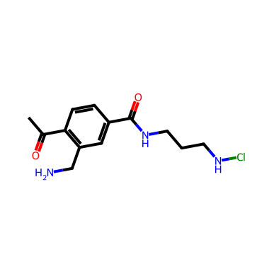 CC(=O)c1ccc(C(=O)NCCCNCl)cc1CN